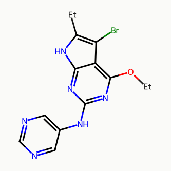 CCOc1nc(Nc2cncnc2)nc2[nH]c(CC)c(Br)c12